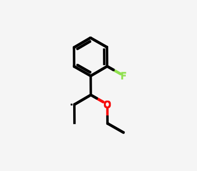 C[CH]C(OCC)c1ccccc1F